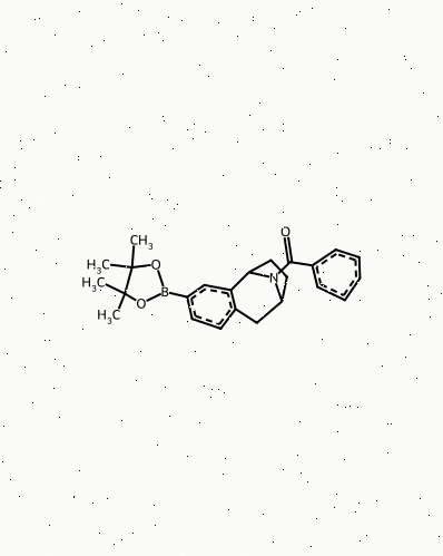 CC1(C)OB(c2ccc3c(c2)C2CCC(C3)N2C(=O)c2ccccc2)OC1(C)C